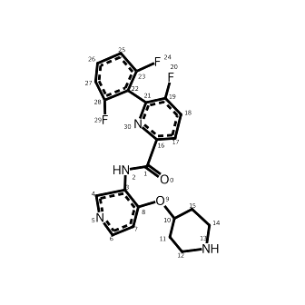 O=C(Nc1cnccc1OC1CCNCC1)c1ccc(F)c(-c2c(F)cccc2F)n1